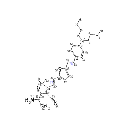 CCCCN(CCCC)c1ccc(/C=C/c2ccc(/C=C/C3=C(C#N)C(=C(N)N)OC3(C)C)s2)cc1